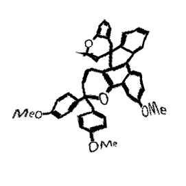 COc1ccc(C2(c3ccc(OC)cc3)C=Cc3c4c(c5ccc(OC)cc5c3O2)-c2ccccc2C42c3ccccc3Oc3ccccc32)cc1